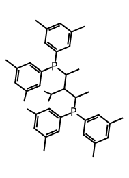 Cc1cc(C)cc(P(c2cc(C)cc(C)c2)C(C)C(C(C)C)C(C)P(c2cc(C)cc(C)c2)c2cc(C)cc(C)c2)c1